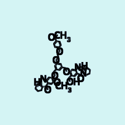 COc1cc2c(cc1OCc1cc(COc3cc4c(cc3CO)C(=O)N3CCCC[C@H]3C=N4)cc(OCCOc3ccc(C(C)=O)cc3)c1)N=C[C@@H]1CCCCC1C2=O